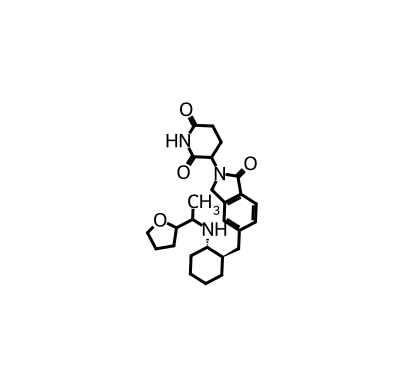 CC(N[C@H]1CCCC[C@@H]1Cc1ccc2c(c1)CN(C1CCC(=O)NC1=O)C2=O)C1CCCO1